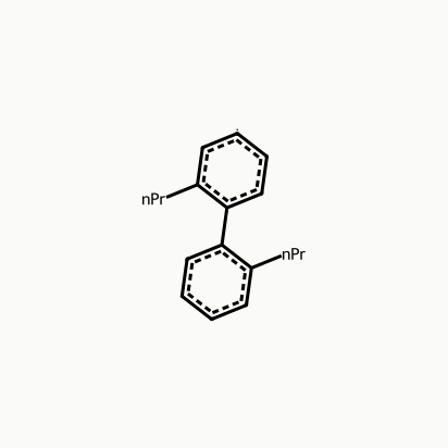 CCCc1c[c]ccc1-c1ccccc1CCC